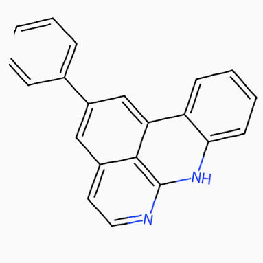 c1ccc(-c2cc3c4c(nccc4c2)Nc2ccccc2-3)cc1